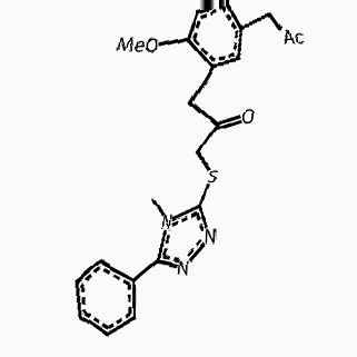 COc1ccc(CC(C)=O)cc1CC(=O)CSc1nnc(-c2ccccc2)n1C